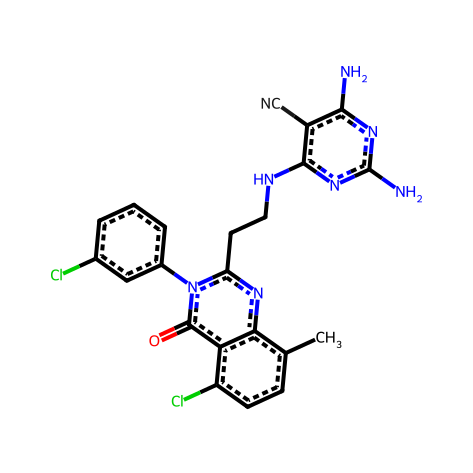 Cc1ccc(Cl)c2c(=O)n(-c3cccc(Cl)c3)c(CCNc3nc(N)nc(N)c3C#N)nc12